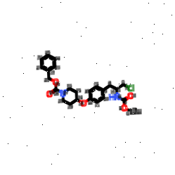 CC(C)(C)OC(=O)N[C@H](CCl)Cc1ccc(OC2CCN(C(=O)OCc3ccccc3)CC2)cc1